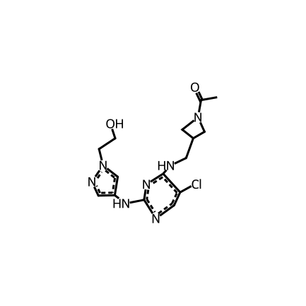 CC(=O)N1CC(CNc2nc(Nc3cnn(CCO)c3)ncc2Cl)C1